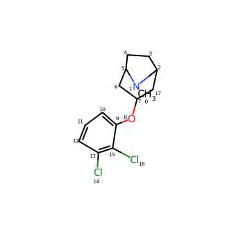 CN1C2CCC1CC(Oc1cccc(Cl)c1Cl)C2